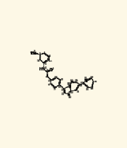 CC(C)(C)c1ccnc(NC(=O)Cc2ccc(-c3cnc4cc(-c5ccccn5)ccn34)cc2)c1